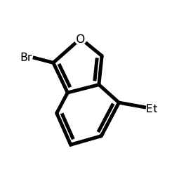 CCc1cccc2c(Br)occ12